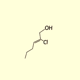 CCCC=C(Cl)CO